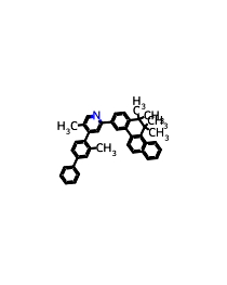 Cc1cc(-c2ccccc2)ccc1-c1cc(-c2ccc3c(c2)-c2ccc4ccccc4c2C(C)(C)C3(C)C)ncc1C